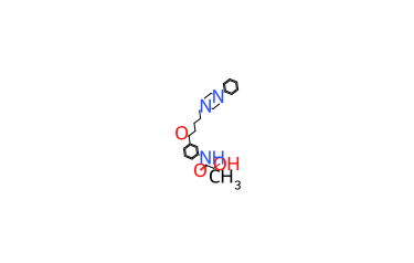 CC(O)C(=O)Nc1cccc(C(=O)CCCCN2CCN(c3ccccc3)CC2)c1